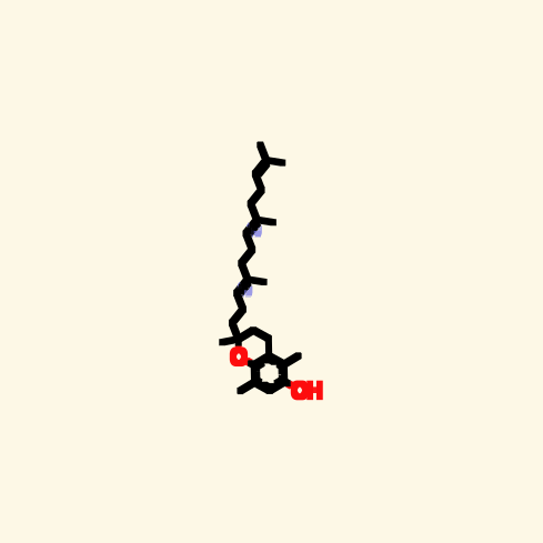 CC(C)=CCC/C(C)=C/CC/C(C)=C/CCC1(C)CCc2c(C)c(O)cc(C)c2O1